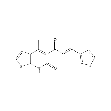 Cc1c(C(=O)C=Cc2ccsc2)c(=O)[nH]c2sccc12